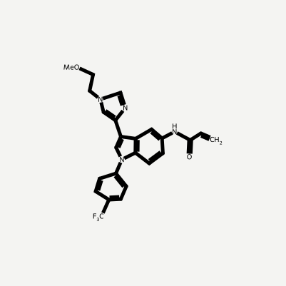 C=CC(=O)Nc1ccc2c(c1)c(-c1cn(CCOC)cn1)cn2-c1ccc(C(F)(F)F)cc1